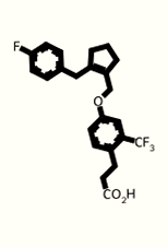 O=C(O)CCc1ccc(OCC2=C(Cc3ccc(F)cc3)CCC2)cc1C(F)(F)F